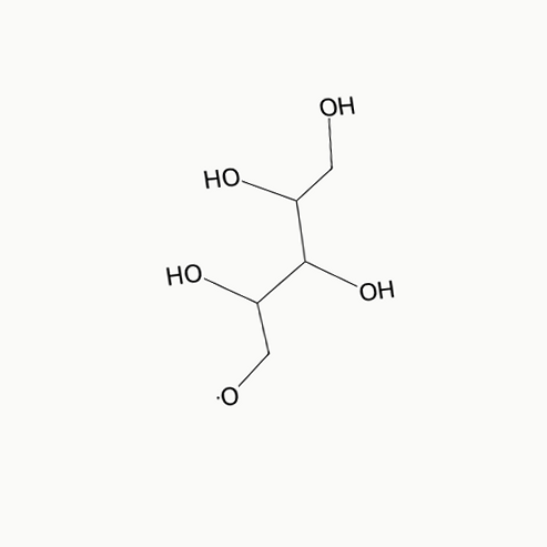 [O]CC(O)C(O)C(O)CO